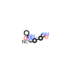 N#CC(Cc1ccc(-c2ccc3c(c2)CNC3=O)cc1)NC(=O)C1(N)CCCCCC1